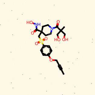 CC#CCOc1ccc(S(=O)(=O)CC2(C(=O)NO)CCN(C(=O)C(C)(CO)CO)CC2)cc1